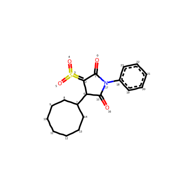 O=C1C(=S(=O)=O)C(C2CCCCCCC2)C(=O)N1c1ccccc1